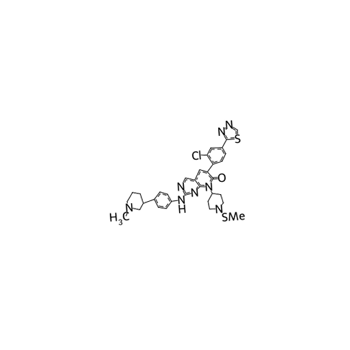 CSN1CCC(n2c(=O)c(-c3ccc(-c4nncs4)cc3Cl)cc3cnc(Nc4ccc(C5CCCN(C)C5)cc4)nc32)CC1